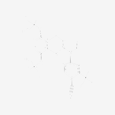 CCN(c1ccc(C#N)c(C(F)(F)F)c1)N1CCN(C(=O)OC(C)(C)C)C(C(=O)OC(C)(C)C)C1